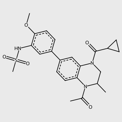 COc1ccc(-c2ccc3c(c2)N(C(=O)C2CC2)CC(C)N3C(C)=O)cc1NS(C)(=O)=O